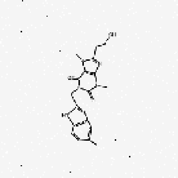 Cc1ccc2[nH]c(Cn3c(=O)c4c(nc(CCO)n4C)n(C)c3=O)cc2c1